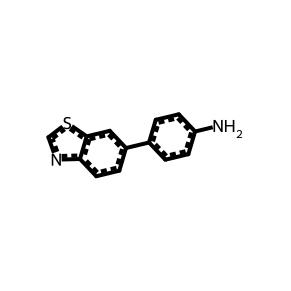 Nc1ccc(-c2ccc3ncsc3c2)cc1